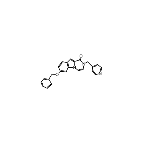 O=c1c2cc3ccc(OCc4ccccc4)cc3n2ccn1Cc1ccncc1